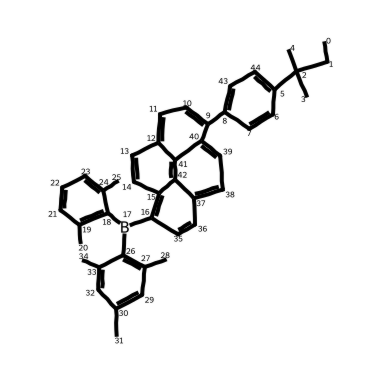 CCC(C)(C)c1ccc(-c2ccc3ccc4c(B(c5c(C)cccc5C)c5c(C)cc(C)cc5C)ccc5ccc2c3c54)cc1